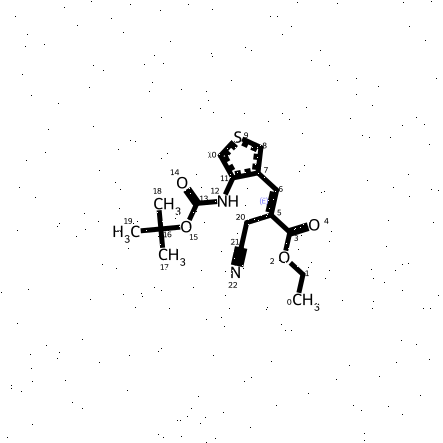 CCOC(=O)/C(=C/c1cscc1NC(=O)OC(C)(C)C)CC#N